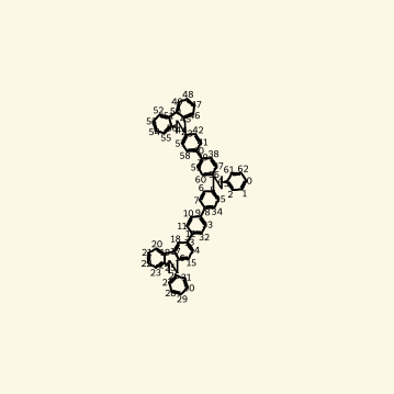 c1ccc(N(c2ccc(-c3ccc(-c4ccc5c(c4)c4ccccc4n5-c4ccccc4)cc3)cc2)c2ccc(-c3ccc(-n4c5ccccc5c5ccccc54)cc3)cc2)cc1